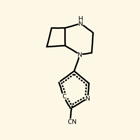 N#Cc1ccc(N2CCNC3CCC32)cn1